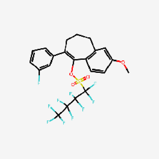 COc1ccc2c(c1)CCCC(c1cccc(F)c1)=C2OS(=O)(=O)C(F)(F)C(F)(F)C(F)(F)C(F)(F)F